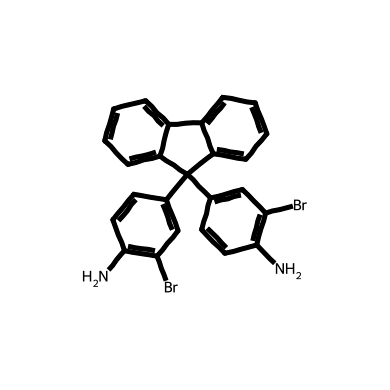 Nc1ccc(C2(c3ccc(N)c(Br)c3)c3ccccc3-c3ccccc32)cc1Br